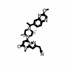 COc1cnc2ccc(C(C)N3C[C@H](C)N(c4cc(=O)n(C)c5cc(CC#N)nn45)C[C@H]3C)cc2n1